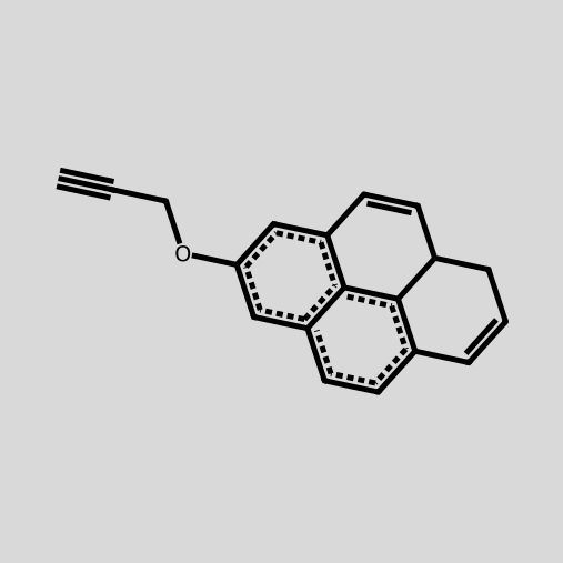 C#CCOc1cc2c3c4c(ccc3c1)C=CCC4C=C2